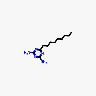 CCCCCCCCCc1nc(N)nc(N)n1